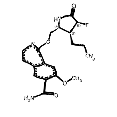 CCC[C@@H]1[C@H](F)C(=O)N[C@@H]1COc1nccc2cc(C(N)=O)c(OC)cc12